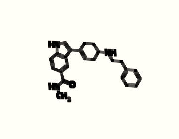 CNC(=O)c1ccc2[nH]cc(C3=CCC(NCCc4ccccc4)CC3)c2c1